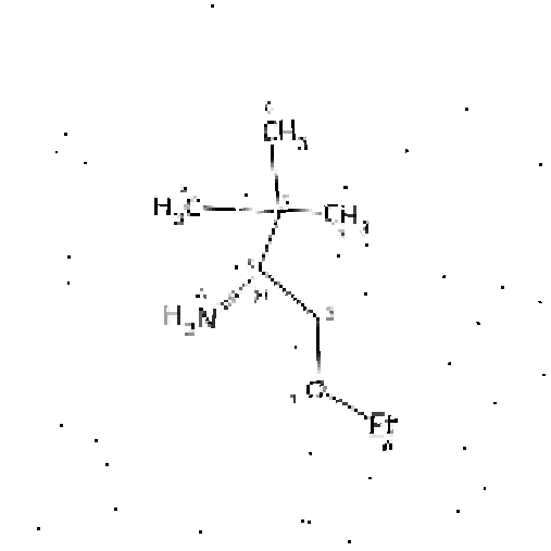 CCOC[C@H](N)C(C)(C)C